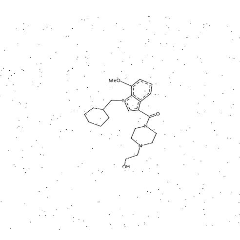 COc1cccc2c(C(=O)N3CCN(CCO)CC3)cn(CC3CCCCC3)c12